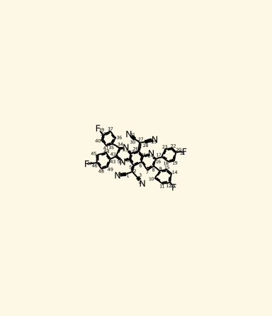 N#CC(C#N)=c1c2cc(-c3ccc(F)cc3)c(-c3ccc(F)cc3)nc2c(=C(C#N)C#N)c2nc(-c3ccc(F)cc3)c(-c3ccc(F)cc3)nc12